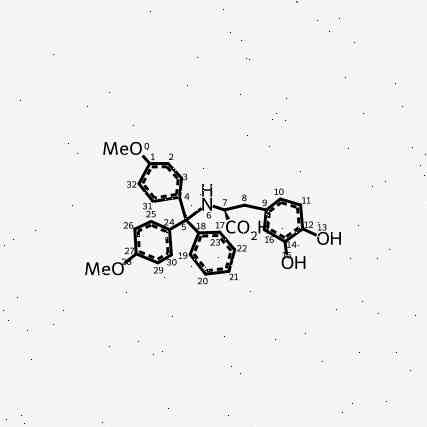 COc1ccc(C(N[C@@H](Cc2ccc(O)c(O)c2)C(=O)O)(c2ccccc2)c2ccc(OC)cc2)cc1